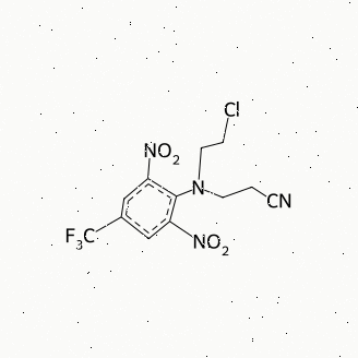 N#CCCN(CCCl)c1c([N+](=O)[O-])cc(C(F)(F)F)cc1[N+](=O)[O-]